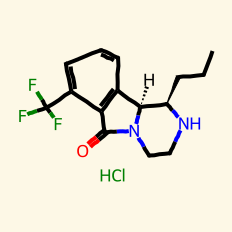 CCC[C@H]1NCCN2C(=O)c3c(cccc3C(F)(F)F)[C@@H]12.Cl